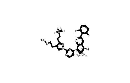 COCCc1cn(-c2nccc([C@@]34CC[C@@H](c5cc(-c6c(F)cccc6F)nnc53)C4(C)C)n2)nc1CCS(C)(=O)=O